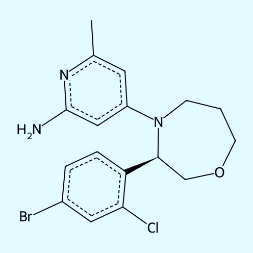 Cc1cc(N2CCCOC[C@H]2c2ccc(Br)cc2Cl)cc(N)n1